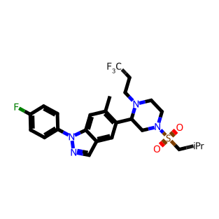 Cc1cc2c(cnn2-c2ccc(F)cc2)cc1C1CN(S(=O)(=O)CC(C)C)CCN1CCC(F)(F)F